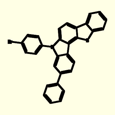 Brc1ccc(-n2c3cc(-c4ccccc4)ccc3c3c4sc5ccccc5c4ccc32)cc1